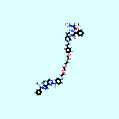 CN[C@@H](C)C(=O)N[C@H](C(=O)N1CCC2CCN(CCc3ccc(OCCOCCOCCOCCO[C@H]4CC[C@H](Nc5nccc(-c6cnn(Cc7ccccc7)c6N(C)C)n5)CC4)cc3)CC21)C1CCCCC1